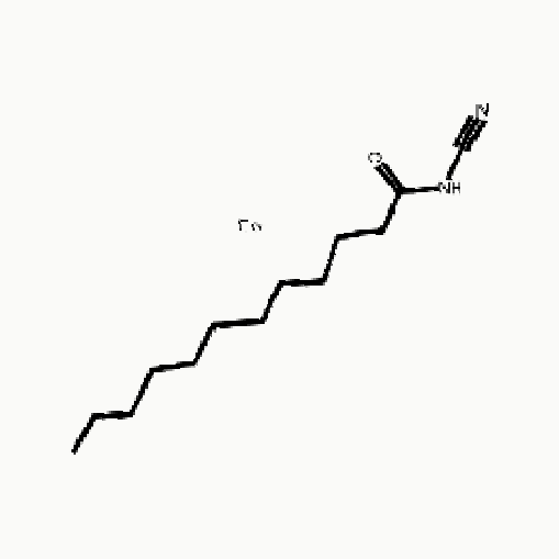 CCCCCCCCCCCC(=O)NC#N.[Co]